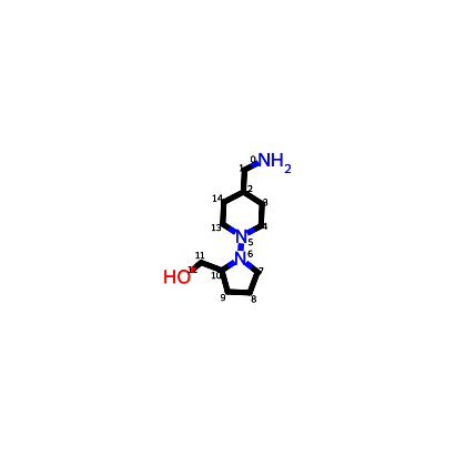 NCC1CCN(N2CCCC2CO)CC1